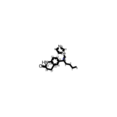 CCCC/C(=C/n1ccnc1)c1ccc2c(c1)CCC(=O)N2